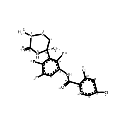 CN1SC[C@@](C)(c2c(F)c(F)cc(NC(=O)c3ncc(Cl)cc3Cl)c2F)NC1=N